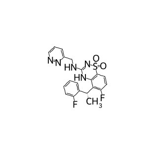 C[C@H](c1ccccc1F)c1c(F)ccc2c1NC(NCc1cccnn1)=NS2(=O)=O